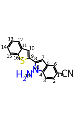 N#Cc1ccc2c(c1)cc(-c1cc3ccccc3s1)n2N